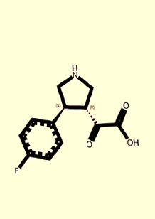 O=C(O)C(=O)[C@H]1CNC[C@@H]1c1ccc(F)cc1